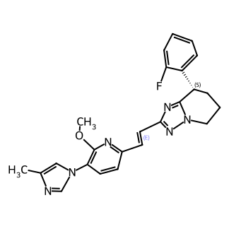 COc1nc(/C=C/c2nc3n(n2)CCC[C@H]3c2ccccc2F)ccc1-n1cnc(C)c1